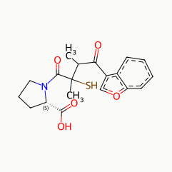 CC(C(=O)c1coc2ccccc12)C(C)(S)C(=O)N1CCC[C@H]1C(=O)O